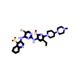 CCc1cc(Nc2ncc(Br)c(Nc3cnc4ccccc4c3P(C)C)n2)c(OC)nc1N1CCC(N2CCN(C)CC2)CC1